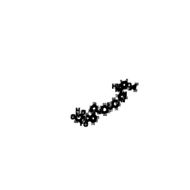 CC1(Oc2ccc3[nH]nc(-c4cc(N5CCC(CC6(F)CCN(CC7CCCCN7c7cccc8c7CN(C7C(=O)NC(=O)CC7F)C8=O)CC6)CC5)ncn4)c3c2)CC1